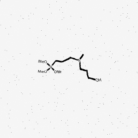 CO[Si](CCCN(C)CCCO)(OC)OC